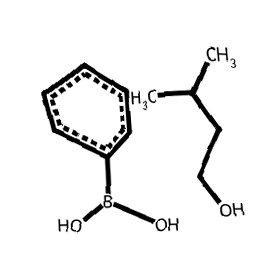 CC(C)CCO.OB(O)c1ccccc1